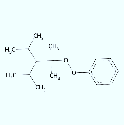 CC(C)C(C(C)C)C(C)(C)OOc1ccccc1